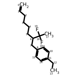 C=CCCCCC(Cc1ccc(CC)cc1)C(C)(F)F